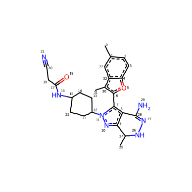 Cc1ccc2oc(-c3c4c(nn3C3CCC(NC(=O)CC#N)CC3)C(C)NN=C4N)c(C)c2c1